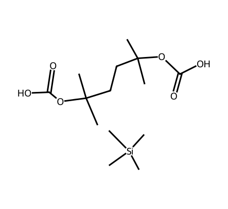 CC(C)(CCC(C)(C)OC(=O)O)OC(=O)O.C[Si](C)(C)C